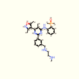 CNCCNCc1cccc(-c2nc(Nc3ccccc3P(C)(C)=O)c(C)c(-c3c(C)noc3C)n2)c1